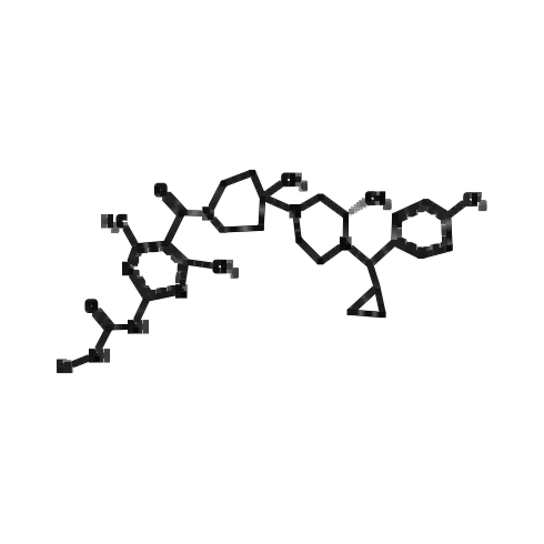 CCNC(=O)Nc1nc(C)c(C(=O)N2CCC(C)(N3CCN(C(c4ccc(C(F)(F)F)cc4)C4CC4)[C@@H](C)C3)CC2)c(C)n1